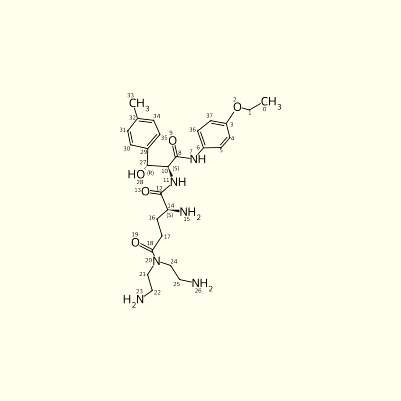 CCOc1ccc(NC(=O)[C@@H](NC(=O)[C@@H](N)CCC(=O)N(CCN)CCN)[C@H](O)c2ccc(C)cc2)cc1